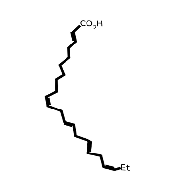 CC/C=C\C/C=C/C/C=C/C/C=C\CCCCCCC=CC(=O)O